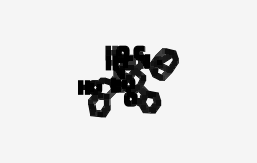 CC(Cc1c(Br)oc2ccccc12)(C(=O)NC(CO)Cc1ccccc1)N(C(=O)O)C1C2CC3CC(C2)CC1C3